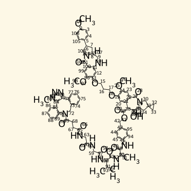 COc1ccc(C2C[C@H]3CNc4cc(OCCCOc5cc6c(cc5OC)C(=O)N5CC7(CC7)C[C@H]5[C@H](O)C6C(=O)OCc5ccc(NC(=O)[C@H](C)NC(=O)[C@@H](NC(=O)CNC(=O)CNC(=O)CCC(=O)N6Cc7ccccc7-c7nnn(C)c7-c7ccccc76)C(C)C)cc5)c(OC)cc4C(=O)N3C2)cc1